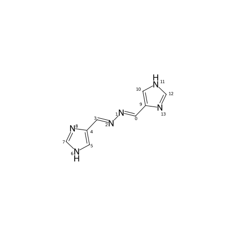 C(=NN=Cc1c[nH]cn1)c1c[nH]cn1